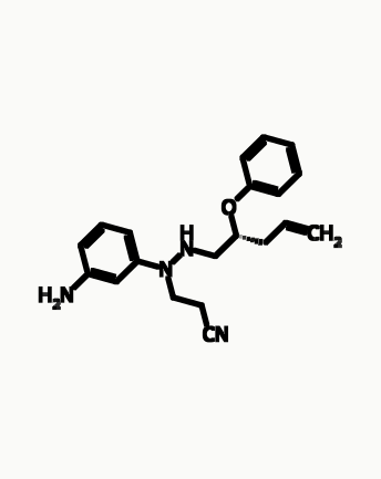 C=CC[C@H](CNN(CCC#N)c1cccc(N)c1)Oc1ccccc1